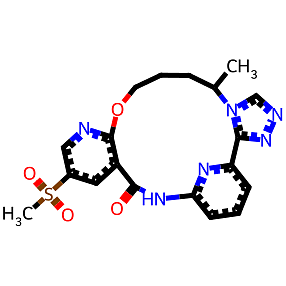 CC1CCCOc2ncc(S(C)(=O)=O)cc2C(=O)Nc2cccc(n2)-c2nncn21